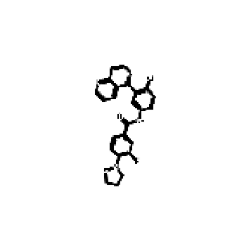 O=C(Nc1ccc(Cl)c(-c2nccc3ncccc23)c1)c1ccc(N2CCCS2)c(F)c1